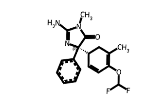 CC1=C(OC(F)F)C=CC([C@]2(c3ccccc3)N=C(N)N(C)C2=O)C1